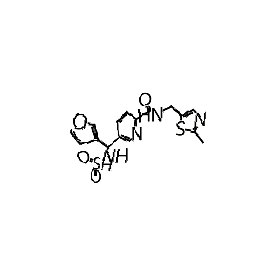 Cc1ncc(CNC(=O)c2ccc(C(N[SH](=O)=O)c3ccoc3)cn2)s1